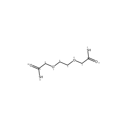 O=C(S)COCCOCC(=O)S